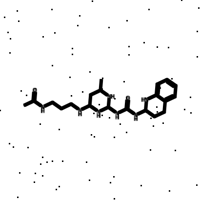 CC(=O)NCCCNC1CC(C)NC(NC(=O)NC2CCc3ccccc3N2)N1